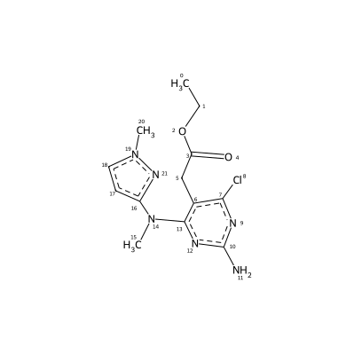 CCOC(=O)Cc1c(Cl)nc(N)nc1N(C)c1ccn(C)n1